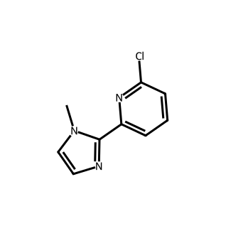 Cn1ccnc1-c1cccc(Cl)n1